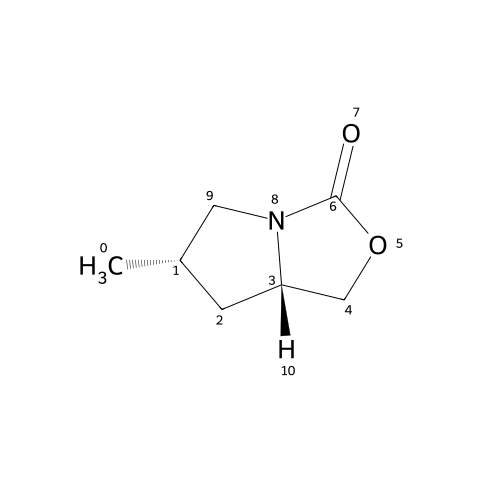 C[C@H]1C[C@H]2COC(=O)N2C1